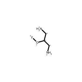 NCC(CN)OF